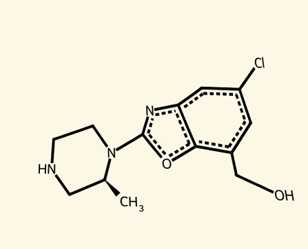 C[C@H]1CNCCN1c1nc2cc(Cl)cc(CO)c2o1